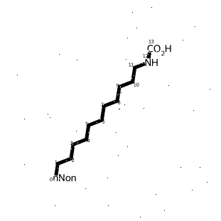 CCCCCCCCCCCCCCCCCCCCNC(=O)O